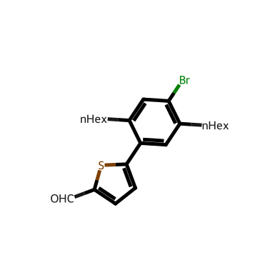 CCCCCCc1cc(-c2ccc(C=O)s2)c(CCCCCC)cc1Br